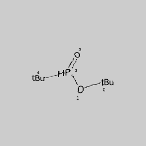 CC(C)(C)O[PH](=O)C(C)(C)C